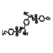 Cc1ccc(S(=O)(=O)ON=C(C=N)c2ccc(/C(C#N)=N\OS(=O)(=O)c3ccc(C)cc3)cc2)cc1